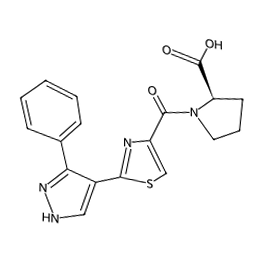 O=C(O)[C@H]1CCCN1C(=O)c1csc(-c2c[nH]nc2-c2ccccc2)n1